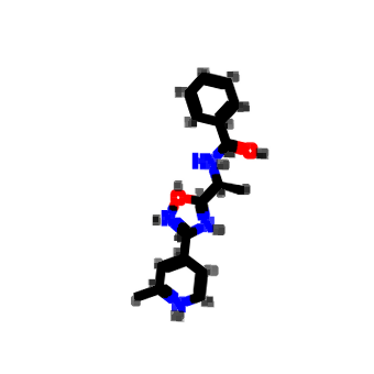 Cc1cc(-c2noc([C@H](C)NC(=O)c3ccccc3)n2)ccn1